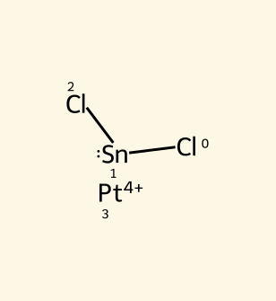 [Cl][Sn][Cl].[Pt+4]